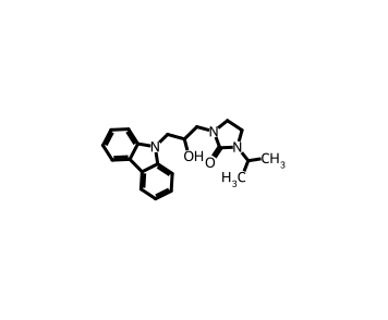 CC(C)N1CCN(CC(O)Cn2c3ccccc3c3ccccc32)C1=O